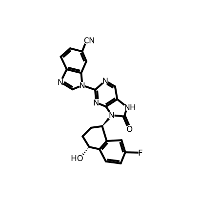 N#Cc1ccc2ncn(-c3ncc4[nH]c(=O)n([C@@H]5CC[C@@H](O)c6ccc(F)cc65)c4n3)c2c1